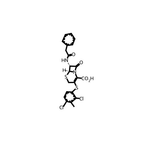 Cc1c(Cl)ccc(SC2=C(C(=O)O)N3C(=O)[C@@H](NC(=O)Cc4ccccc4)[C@@H]3SC2)c1Cl